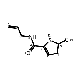 C=CCNC(=O)C1=CCC(Cl)S1